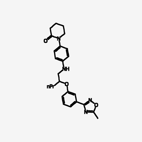 CCCC(CNc1ccc(N2CCCCC2=O)cc1)Oc1cccc(-c2noc(C)n2)c1